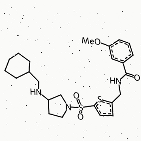 COc1cccc(C(=O)NCc2ccc(S(=O)(=O)N3CCC(NCC4CCCCC4)C3)s2)c1